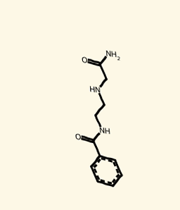 NC(=O)CNCCNC(=O)c1ccccc1